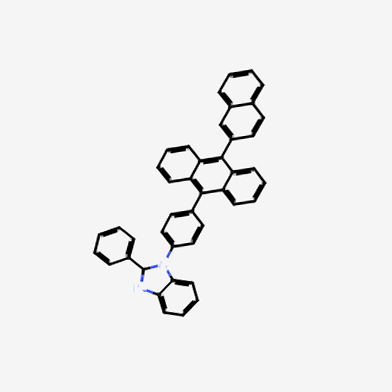 c1ccc(C2Nc3ccccc3N2c2ccc(-c3c4ccccc4c(-c4ccc5ccccc5c4)c4ccccc34)cc2)cc1